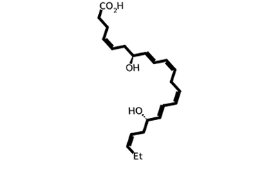 CC/C=C\C[C@H](O)/C=C/C=C\C/C=C\C=C\[C@@H](O)C/C=C\CCC(=O)O